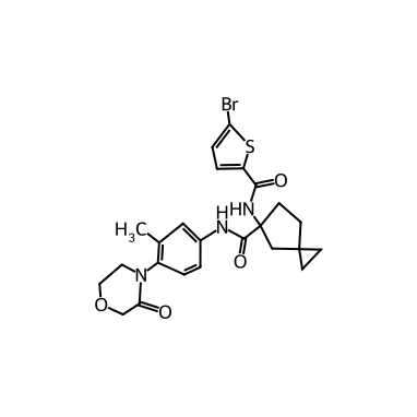 Cc1cc(NC(=O)C2(NC(=O)c3ccc(Br)s3)CCC3(CC3)C2)ccc1N1CCOCC1=O